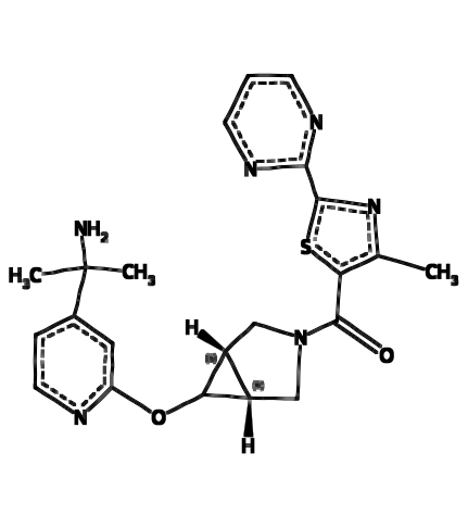 Cc1nc(-c2ncccn2)sc1C(=O)N1C[C@@H]2C(Oc3cc(C(C)(C)N)ccn3)[C@@H]2C1